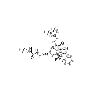 CCNC(=O)NCC#Cc1cc2c(c(C(F)(F)F)c1)C(O)(c1ccc3ccccc3c1)C(=O)N2CCN(CC)CC